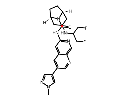 Cn1cc(-c2cnc3cnc(NC(=O)N4[C@@H]5CC[C@H]4C[C@H](NC(CF)CF)C5)cc3c2)cn1